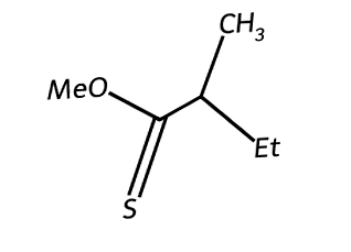 CCC(C)C(=S)OC